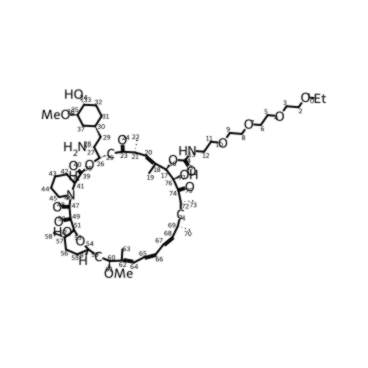 CCOCCOCCOCCOCCNC(=O)O[C@@H]1/C(C)=C/[C@@H](C)C(=O)C[C@@H]([C@H](N)C[C@@H]2CC[C@@H](O)[C@H](OC)C2)OC(=O)[C@@H]2CCCCN2C(=O)C(=O)[C@]2(O)O[C@@H](CC[C@H]2C)C[C@H](OC)/C(C)=C/C=C/C=C/[C@@H](C)C[C@@H](C)C(=O)[C@@H]1O